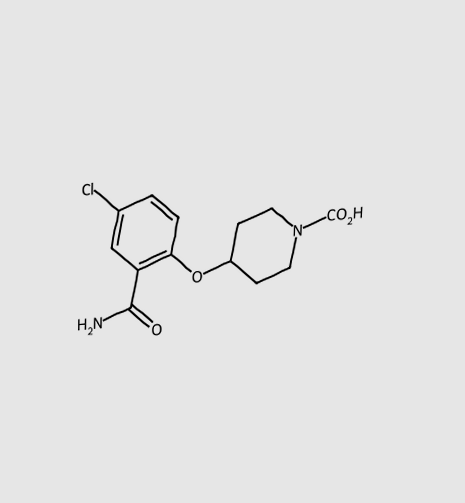 NC(=O)c1cc(Cl)ccc1OC1CCN(C(=O)O)CC1